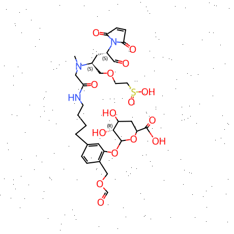 CN(CC(=O)NCCCCc1ccc(COC=O)c(OC2OC(C(=O)O)CC(O)[C@H]2O)c1)[C@H](COCCS(=O)O)C[C@@H](C=O)N1C(=O)C=CC1=O